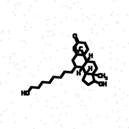 C[C@]12CCC(=O)CC1CC(CCCCCCCCO)[C@@H]1[C@H]2CC[C@]2(C)C(O)CC[C@@H]12